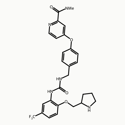 CNC(=O)c1cc(Oc2ccc(CNC(=O)Nc3cc(C(F)(F)F)ccc3OCC3CCCN3)cc2)ccn1